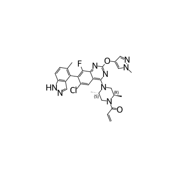 C=CC(=O)N1C[C@H](C)N(c2nc(Oc3cnn(C)c3)nc3c(F)c(-c4c(C)ccc5[nH]ncc45)c(Cl)cc23)C[C@H]1C